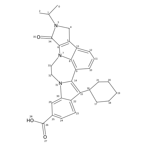 CC(C)N1Cc2c(n3c4c(cccc24)-c2c(C4CCCCC4)c4ccc(C(=O)O)cc4n2CC3)C1=O